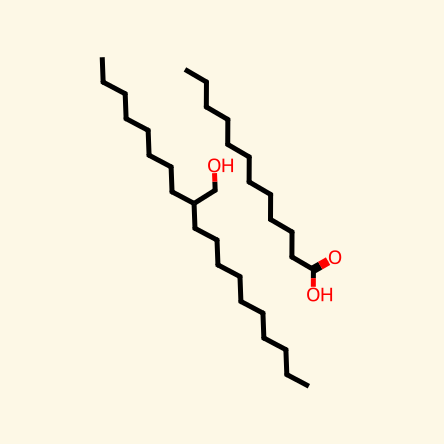 CCCCCCCCCCC(CO)CCCCCCCC.CCCCCCCCCCCC(=O)O